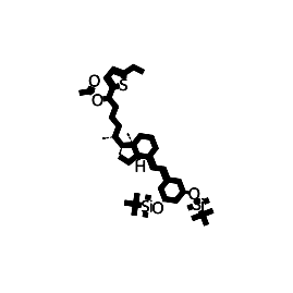 CCc1ccc(C(CCC[C@@H](C)[C@H]2CC[C@H]3/C(=C/C=C4C[C@@H](O[Si](C)(C)C(C)(C)C)C[C@H](O[Si](C)(C)C(C)(C)C)C4)CCC[C@]23C)OC(C)=O)s1